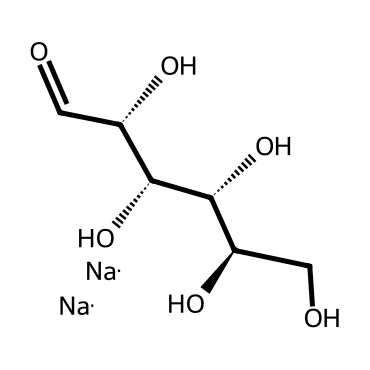 O=C[C@H](O)[C@@H](O)[C@H](O)[C@H](O)CO.[Na].[Na]